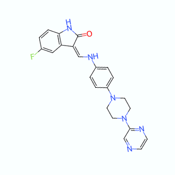 O=C1Nc2ccc(F)cc2C1=CNc1ccc(N2CCN(c3cnccn3)CC2)cc1